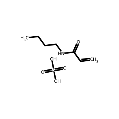 C=CC(=O)NCCCC.O=S(=O)(O)O